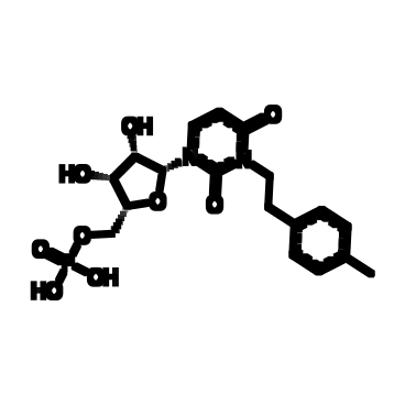 Cc1ccc(CCn2c(=O)ccn([C@@H]3O[C@H](COP(=O)(O)O)[C@H](O)[C@@H]3O)c2=O)cc1